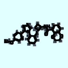 CCOc1ccc(-c2nnc([C@H]3C[C@H](NC(=O)c4cccc5c4OCCO5)C3)n2-c2ccccc2F)nc1